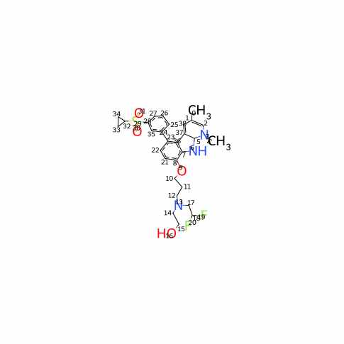 CC1=CN(C)C2Nc3c(OCCCN(CCO)CC(F)F)ccc(-c4cccc(S(=O)(=O)C5CC5)c4)c3C2=C1